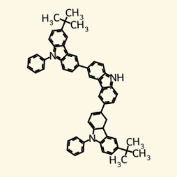 CC(C)(C)c1ccc2c(c1)C1CC(c3ccc4[nH]c5ccc(-c6ccc7c(c6)c6cc(C(C)(C)C)ccc6n7-c6ccccc6)cc5c4c3)=CC=C1N2c1ccccc1